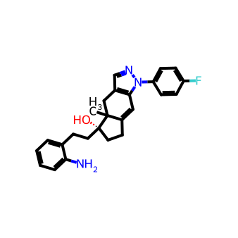 CC12Cc3cnn(-c4ccc(F)cc4)c3C=C1CC[C@@]2(O)CCc1ccccc1N